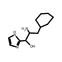 NC(CC1CCCCC1)C(O)c1ncc[nH]1